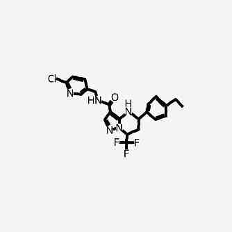 CCc1ccc(C2CC(C(F)(F)F)n3ncc(C(=O)NCc4ccc(Cl)nc4)c3N2)cc1